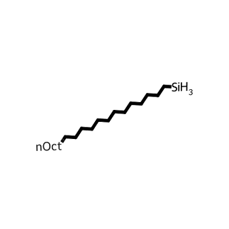 CCCCCCCCCCCCCCCCCCCCC[SiH3]